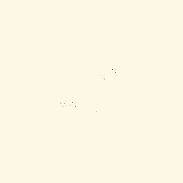 CNCC(=O)c1c(C)cnn1C